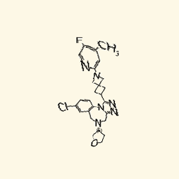 Cc1cc(N2CC3(CC(c4nnc5n4-c4ccc(Cl)cc4CN([C@@H]4CCOC4)C5)C3)C2)ncc1F